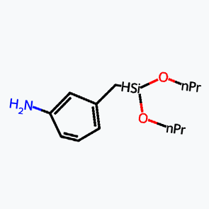 CCCO[SiH](Cc1cccc(N)c1)OCCC